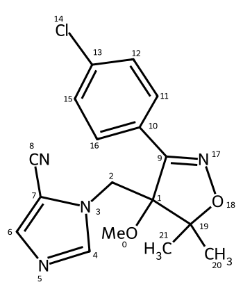 COC1(Cn2cncc2C#N)C(c2ccc(Cl)cc2)=NOC1(C)C